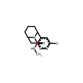 CNC(=O)N1C2CCCC1c1cc(Cl)nnc1C2